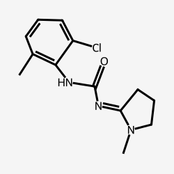 Cc1cccc(Cl)c1NC(=O)N=C1CCCN1C